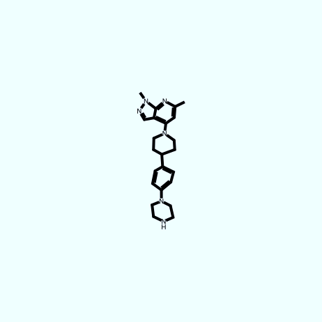 Cc1cc(N2CCC(c3ccc(N4CCNCC4)cc3)CC2)c2cnn(C)c2n1